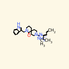 C=C/C=C(\N=C(/N)N1CCC2(CCCN(Cc3c[nH]c4ccccc34)C2=O)CC1)C(C)C